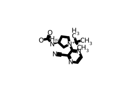 CC(C)(C)[N+]1(c2nccnc2C#N)CC[C@H](NC(=O)[O-])C1